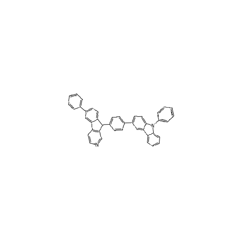 c1ccc(-c2ccc3c(c2)-c2ccncc2C3c2ccc(-c3ccc4c(c3)c3ccccc3n4-c3ccccc3)cc2)cc1